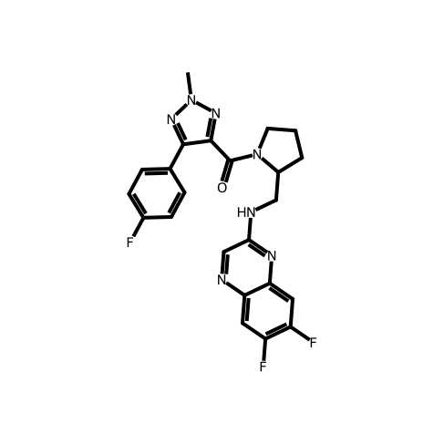 Cn1nc(C(=O)N2CCCC2CNc2cnc3cc(F)c(F)cc3n2)c(-c2ccc(F)cc2)n1